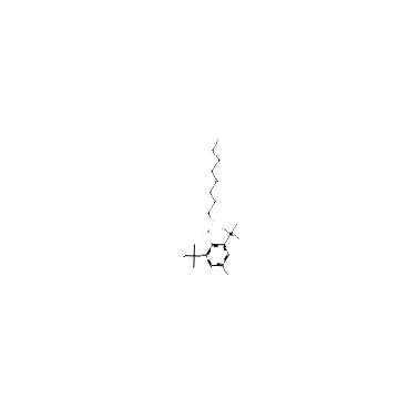 CCCCCCC[CH2][Al][O]c1c(C(C)(C)C)cc(C)cc1C(C)(C)C